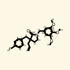 C=CCC1(Cc2ccc(F)cc2)CCN(Cc2cc(OC)c(OC)c(OC)c2)C1=O